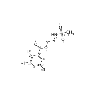 CS(=O)(=O)NCCOC(=O)c1cc(I)cc(I)c1I